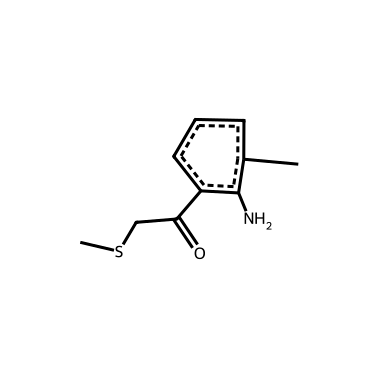 CSCC(=O)c1cccc(C)c1N